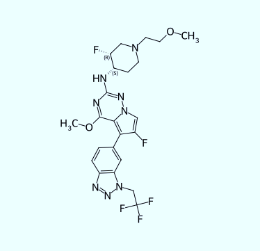 COCCN1CC[C@H](Nc2nc(OC)c3c(-c4ccc5nnn(CC(F)(F)F)c5c4)c(F)cn3n2)[C@H](F)C1